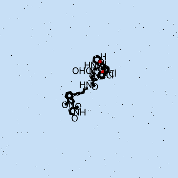 O=CN(c1ncc(C(=O)NCCCC#Cc2cccc3c2CN(C2CCC(=O)NC2=O)C3=O)s1)[C@H]1NC2(CCCCC2)[C@@]2(C(=O)Nc3cc(Cl)ccc32)[C@H]1c1cccc(Cl)c1F